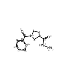 NNC(=O)C1CCN(C(=O)c2ccccn2)C1